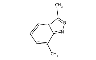 Cc1cccn2c(C)nnc12